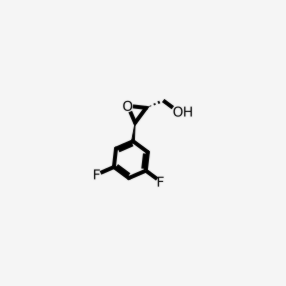 OC[C@H]1O[C@@H]1c1cc(F)cc(F)c1